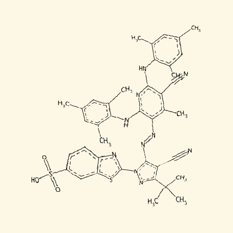 Cc1cc(C)c(Nc2nc(Nc3c(C)cc(C)cc3C)c(N=Nc3c(C#N)c(C(C)(C)C)nn3-c3nc4ccc(S(=O)(=O)O)cc4s3)c(C)c2C#N)c(C)c1